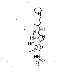 COC(=O)NC[C@H]1O[C@@H](N2C=NC3=C(NC(=O)CCCN4CCCCC4)N=CNC32)[C@H](O)[C@@H]1O